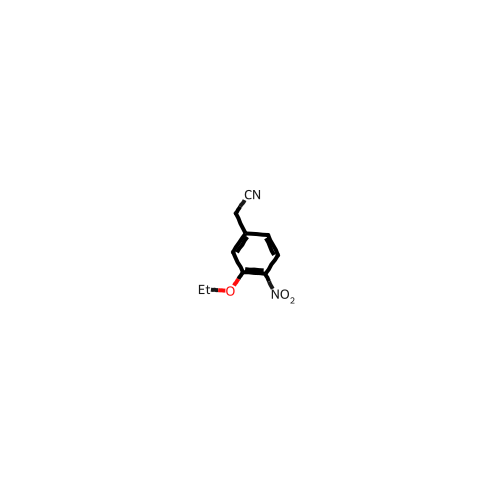 CCOc1cc(CC#N)ccc1[N+](=O)[O-]